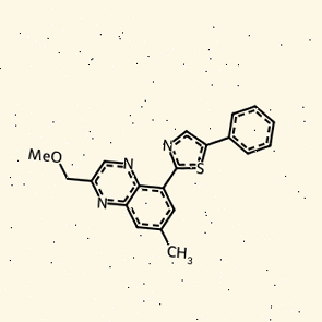 COCc1cnc2c(-c3ncc(-c4ccccc4)s3)cc(C)cc2n1